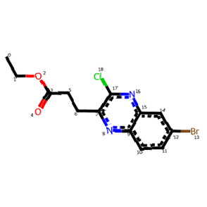 CCOC(=O)CCc1nc2ccc(Br)cc2nc1Cl